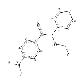 CCOC(C(=O)c1ccc(N(C)C)cc1)c1ccccc1